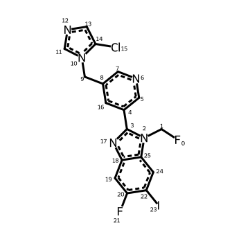 FCn1c(-c2cncc(Cn3cncc3Cl)c2)nc2cc(F)c(I)cc21